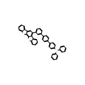 c1ccc(N(c2ccccc2)c2ccc(-c3ccc(-c4cccc(-c5cc6c7ccccc7sc6c6oc7ccccc7c56)c4)cc3)cc2)cc1